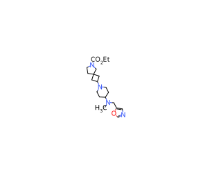 CCOC(=O)N1CCC2(CC(N3CCC(N(C)Cc4cnco4)CC3)C2)C1